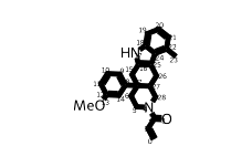 C=CC(=O)N1CCC2(c3cccc(OC)c3)Cc3[nH]c4cccc(C)c4c3CC2C1